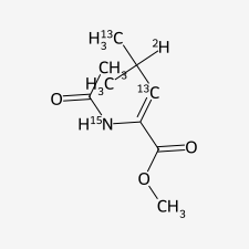 [2H]C(C)([13CH3])/[13CH]=C(\[15NH]C(C)=O)C(=O)OC